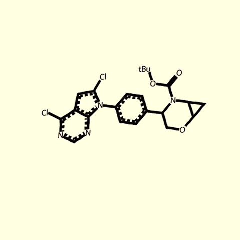 CC(C)(C)OC(=O)N1C(c2ccc(-n3c(Cl)cc4c(Cl)ncnc43)cc2)COC2CC21